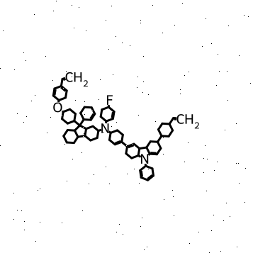 C=CC1=CCC(OC2CCC(C3(C4C=CCCC4)C4CCCCC4C4CCC(N(C5C=CC(F)CC5)C5CC=C(C6=CC7C8CC(C9CCC(C=C)CC9)CC=C8N(C8C=CC=CC8)C7CC6)CC5)CC43)CC2)C=C1